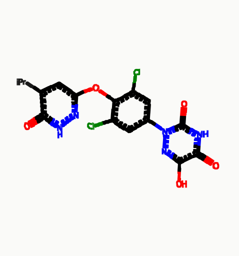 CC(C)c1cc(Oc2c(Cl)cc(-n3nc(O)c(=O)[nH]c3=O)cc2Cl)n[nH]c1=O